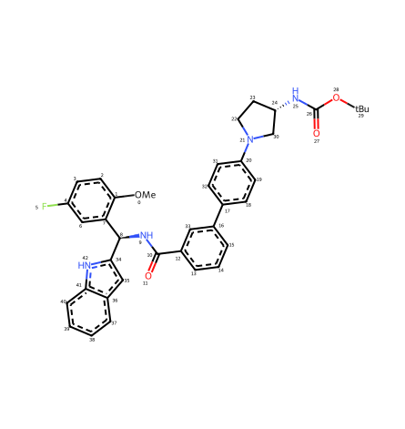 COc1ccc(F)cc1[C@@H](NC(=O)c1cccc(-c2ccc(N3CC[C@H](NC(=O)OC(C)(C)C)C3)cc2)c1)c1cc2ccccc2[nH]1